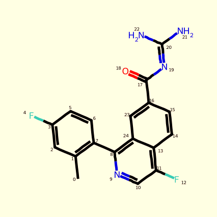 Cc1cc(F)ccc1-c1ncc(F)c2ccc(C(=O)N=C(N)N)cc12